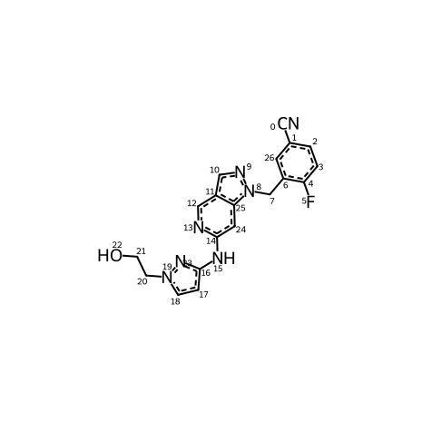 N#Cc1ccc(F)c(Cn2ncc3cnc(Nc4ccn(CCO)n4)cc32)c1